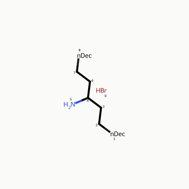 Br.CCCCCCCCCCCCC(N)CCCCCCCCCCCC